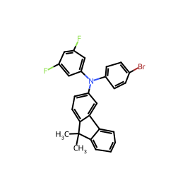 CC1(C)c2ccccc2-c2cc(N(c3ccc(Br)cc3)c3cc(F)cc(F)c3)ccc21